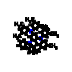 Cc1cc(C)cc(N(c2cc(C)cc(C)c2)c2cc3c4c(c2)-n2c5ccccc5c5cccc(c52)B4c2c(C)cc(C)cc2N3c2cc(C)cc(C)c2)c1